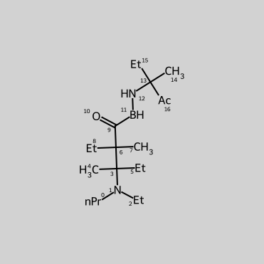 CCCN(CC)C(C)(CC)C(C)(CC)C(=O)BNC(C)(CC)C(C)=O